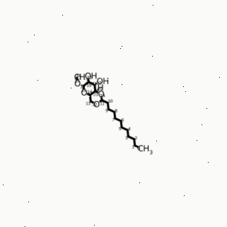 CCCCCCCCCCCC1OCC2O[C@H](OC)C(O)[C@@H](O)[C@H]2O1